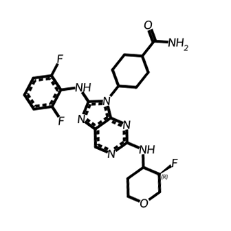 NC(=O)C1CCC(n2c(Nc3c(F)cccc3F)nc3cnc(NC4CCOC[C@@H]4F)nc32)CC1